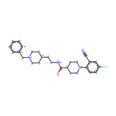 N#Cc1cc(F)ccc1N1CCC(C(=O)NCCC2CCN(Cc3ccccc3)CC2)CC1